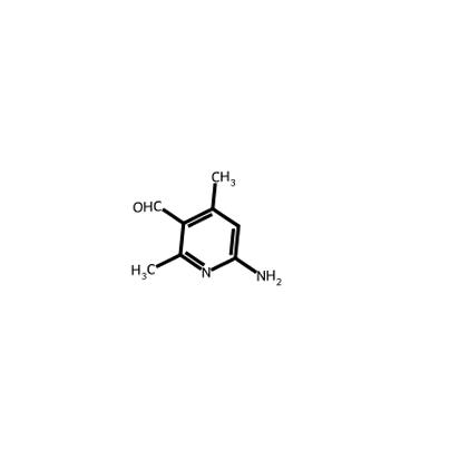 Cc1cc(N)nc(C)c1C=O